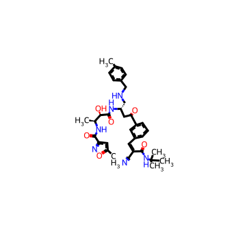 Cc1ccc(CNC[C@H](CC(=O)c2cccc(C=C(C#N)C(=O)NC(C)(C)C)c2)NC(=O)[C@H](O)[C@H](C)NC(=O)c2cc(C)on2)cc1